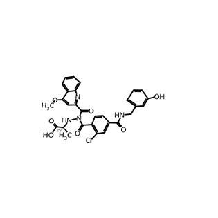 COc1cc(C(=O)N(N[C@@H](C)C(=O)O)C(=O)c2ccc(C(=O)NCc3cccc(O)c3)cc2Cl)nc2ccccc12